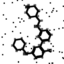 Clc1cnc(NC2CCCCC2)cc1-c1cccc(NCC2CCNCC2)n1